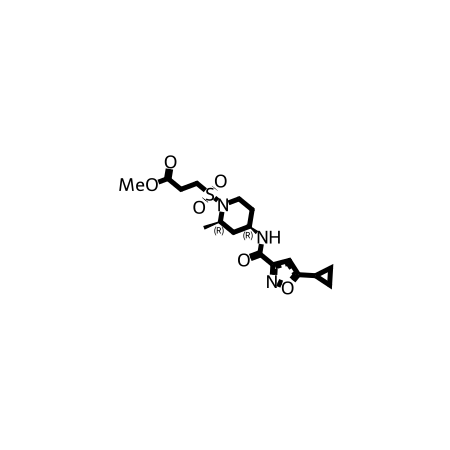 COC(=O)CCS(=O)(=O)N1CC[C@@H](NC(=O)c2cc(C3CC3)on2)C[C@H]1C